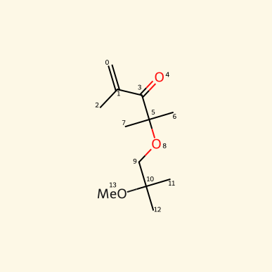 C=C(C)C(=O)C(C)(C)OCC(C)(C)OC